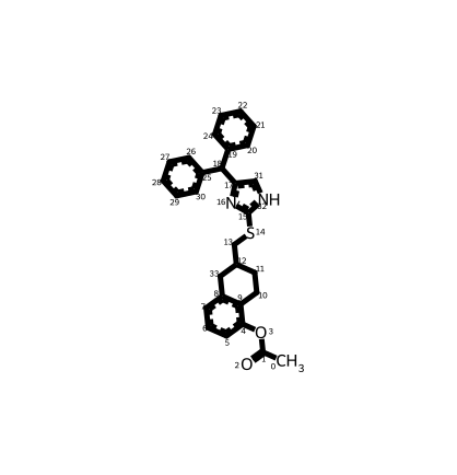 CC(=O)Oc1cccc2c1CCC(CSc1nc(C(c3ccccc3)c3ccccc3)c[nH]1)C2